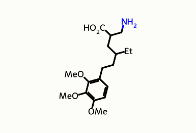 CCC(CCc1ccc(OC)c(OC)c1OC)CC(CN)C(=O)O